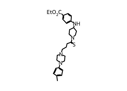 CCOC(=O)c1ccc(NC2CCN(C(=S)CCCN3CCN(c4ccc(C)cc4)CC3)CC2)cc1